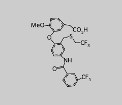 COc1ccc(CC(=O)O)cc1Oc1ccc(NC(=O)c2cccc(C(F)(F)F)c2)cc1CSCC(F)(F)F